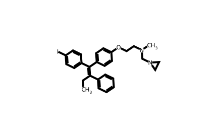 CC/C(=C(\c1ccc(I)cc1)c1ccc(OCCN(C)CN2CC2)cc1)c1ccccc1